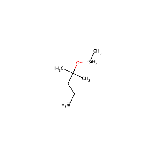 C[SiH2]OC(C)(C)CC[SiH3]